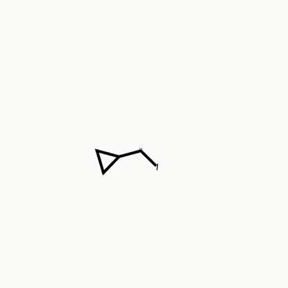 I[C]C1CC1